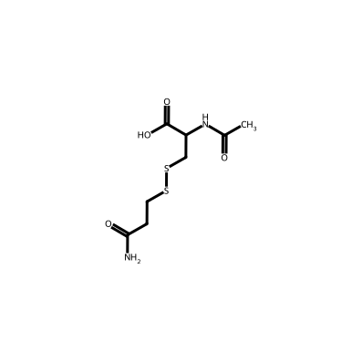 CC(=O)NC(CSSCCC(N)=O)C(=O)O